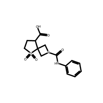 O=C(O)C1CCS(=O)(=O)C12CN(C(=O)Nc1ccccc1)C2